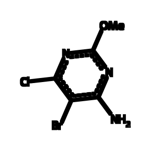 COc1nc(N)c(Br)c(Cl)n1